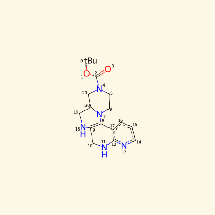 CC(C)(C)OC(=O)N1CCN2C3=C(CNc4ncccc43)NCC2C1